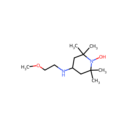 COCCNC1CC(C)(C)N(O)C(C)(C)C1